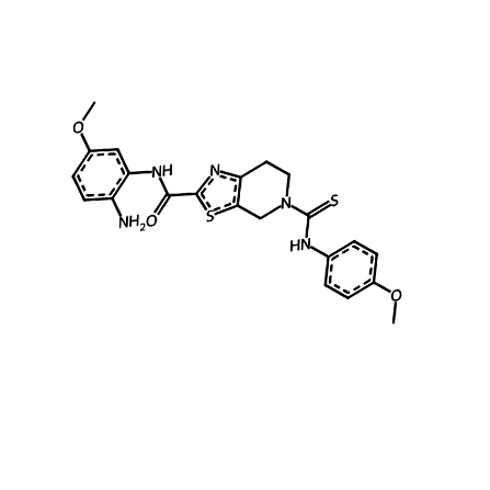 COc1ccc(NC(=S)N2CCc3nc(C(=O)Nc4cc(OC)ccc4N)sc3C2)cc1